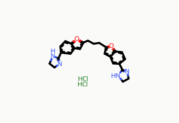 Cl.Cl.c1cc2oc(CCCc3cc4cc(C5=NCCN5)ccc4o3)cc2cc1C1=NCCN1